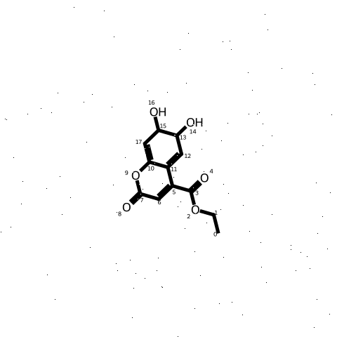 CCOC(=O)c1cc(=O)oc2c1=CC(O)C(O)C=2